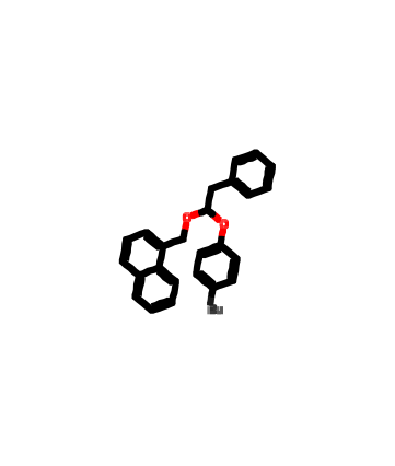 CCC(C)c1ccc(OC(Cc2ccccc2)OCc2cccc3ccccc23)cc1